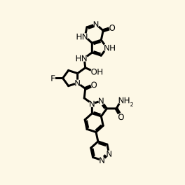 NC(=O)c1nn(CC(=O)N2CC(F)CC2C(O)Nc2c[nH]c3c(=O)nc[nH]c23)c2ccc(-c3ccnnc3)cc12